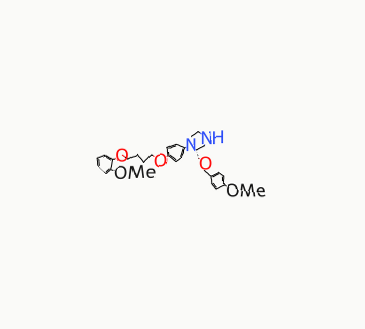 COc1ccc(COC[C@H]2CNCCN2c2ccc(OCCCCOc3ccccc3OC)cc2)cc1